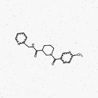 Cc1cnc(C(=O)N2CCCC(C(=O)NCc3ccccn3)C2)cn1